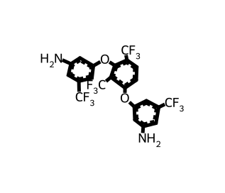 Nc1cc(Oc2ccc(C(F)(F)F)c(Oc3cc(N)cc(C(F)(F)F)c3)c2C(F)(F)F)cc(C(F)(F)F)c1